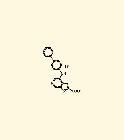 O=C([O-])c1cc2c(Nc3ccc(-c4ccccc4)cc3)cncc2s1.[Li+]